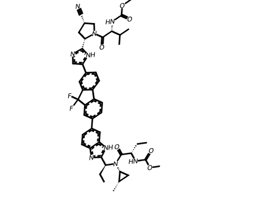 CC[C@H](NC(=O)OC)C(=O)N([C@@H]1C[C@@H]1C)[C@@H](CC)c1nc2ccc(-c3ccc4c(c3)C(F)(F)c3cc(-c5cnc([C@@H]6C[C@H](C#N)CN6C(=O)[C@H](NC(=O)OC)C(C)C)[nH]5)ccc3-4)cc2[nH]1